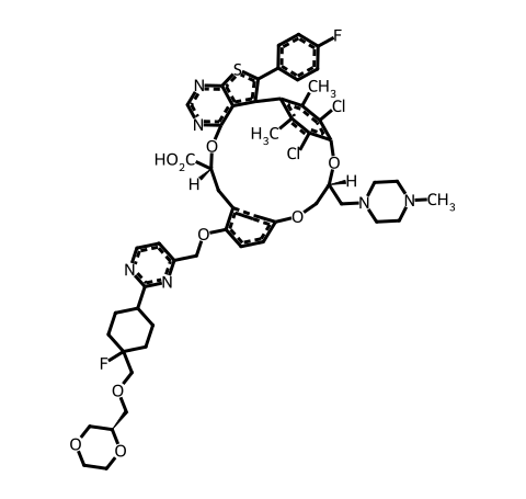 Cc1c(Cl)c2c(Cl)c(C)c1-c1c(-c3ccc(F)cc3)sc3ncnc(c13)O[C@@H](C(=O)O)Cc1cc(ccc1OCc1ccnc(C3CCC(F)(COC[C@@H]4COCCO4)CC3)n1)OC[C@@H](CN1CCN(C)CC1)O2